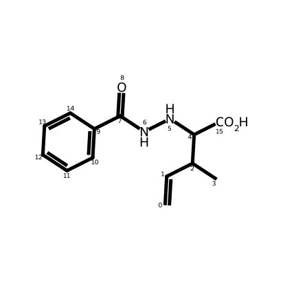 C=CC(C)C(NNC(=O)c1ccccc1)C(=O)O